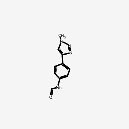 Cn1cc(-c2ccc(NC=O)cc2)nn1